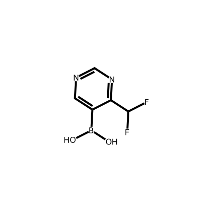 OB(O)c1cncnc1C(F)F